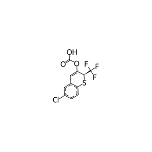 O=C(O)OC1=Cc2cc(Cl)ccc2S[C@@H]1C(F)(F)F